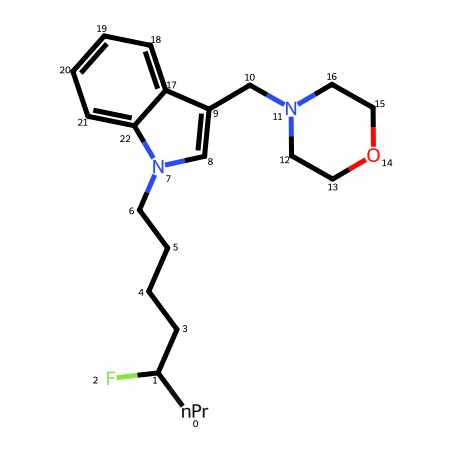 CCCC(F)CCCCn1cc(CN2CCOCC2)c2ccccc21